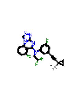 Fc1cc(C#CC2(C(F)(F)F)CC2)cc(N(CC(F)F)c2nc3nncn3c3cccc(F)c23)c1